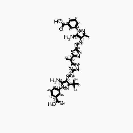 Cc1nn(-c2cccc(C(=O)O)c2)c(N)c1N=Nc1nnc(C(C)c2nnc(N=Nc3c(C(C)(C)C)nn(-c4cccc(C(=O)O)c4)c3N)s2)s1